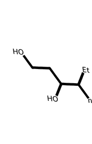 CCCC(CC)C(O)CCO